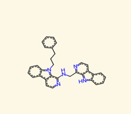 c1ccc(CCCn2c3ccccc3c3ccnc(NCc4nccc5c4[nH]c4ccccc45)c32)cc1